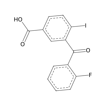 O=C(O)c1ccc(I)c(C(=O)c2ccccc2F)c1